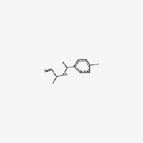 C=CC(C)NC(C)c1ccc(C)cc1